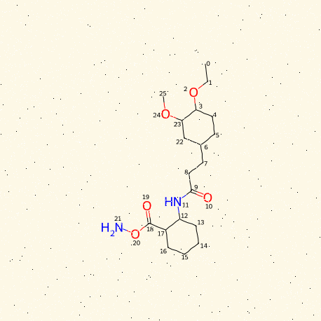 CCOC1CCC(CCC(=O)NC2CCCCC2C(=O)ON)CC1OC